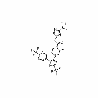 CC(O)c1ncn(CC(=O)N2CCN(c3sc(C(F)(F)F)nc3-c3cnc(C(F)(F)F)nc3)CC2C)n1